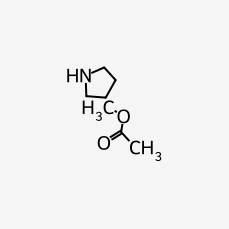 C1CCNC1.COC(C)=O